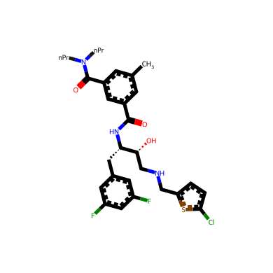 CCCN(CCC)C(=O)c1cc(C)cc(C(=O)N[C@@H](Cc2cc(F)cc(F)c2)[C@H](O)CNCc2ccc(Cl)s2)c1